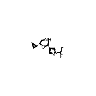 FC(F)n1cc([C@H]2CNC[C@@H](C3CC3)O2)cn1